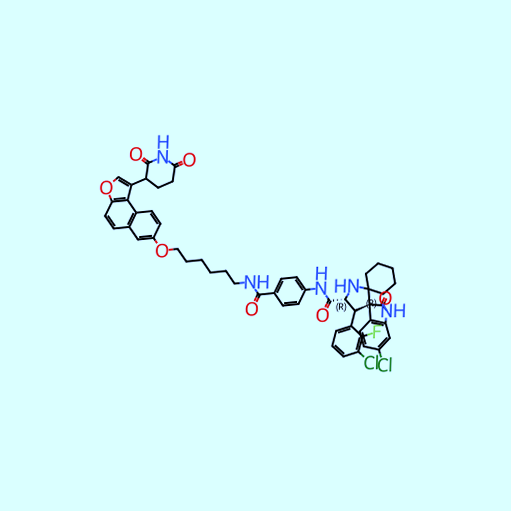 O=C1CCC(c2coc3ccc4cc(OCCCCCCNC(=O)c5ccc(NC(=O)[C@@H]6NC7(CCCCC7)[C@@]7(C(=O)Nc8cc(Cl)ccc87)C6c6cccc(Cl)c6F)cc5)ccc4c23)C(=O)N1